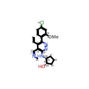 C=Cc1c(-c2ccc(Cl)cc2OC)nnc(N[C@H]2CCC[C@@H]2O)c1/C=N\C